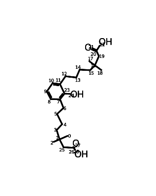 CC(C)(CCCCc1cccc(CCCCC(C)(C)CC(=O)O)c1O)CC(=O)O